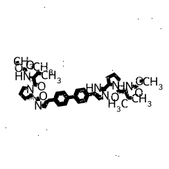 COC(=O)N[C@H](C(=O)N1CCCC1c1ncc(-c2ccc(-c3ccc(-c4cnc([C@@H]5CCCN5C(=O)[C@@H](NC(=O)OC)C(C)C)o4)cc3)cc2)[nH]1)C(C)C